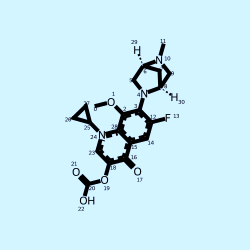 COc1c(N2C[C@@H]3C[C@H]2CN3C)c(F)cc2c(=O)c(OC(=O)O)cn(C3CC3)c12